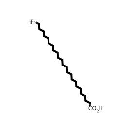 CC(C)CCCCCCCCCCCCCCCCCCCCCCCC(=O)O